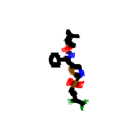 CC(C)CCO/N=C(\c1ccccc1)c1cnc(S(=O)(=O)CCC(F)=C(F)F)s1